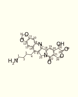 NCCCCc1c2c(nc3cc4c(cc13)OCO4)-c1cc3c(c(=O)n1C2)COC(=O)C3O